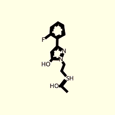 CC(O)=[SH]CCn1nc(-c2ccccc2F)cc1O